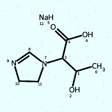 CC(O)C(C(=O)O)N1C=NCC1.[NaH]